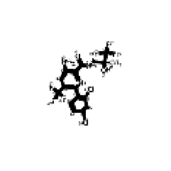 C[C@@](O)(CNC(=O)c1nc(-c2ccc(Cl)cc2Cl)c(C(F)(F)F)cc1N)C(F)(F)F